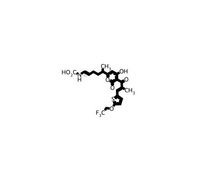 CC(=Cc1ccc(OCC(F)(F)F)s1)C(=O)c1c(O)cc(C(C)CC/C=C/NC(=O)O)oc1=O